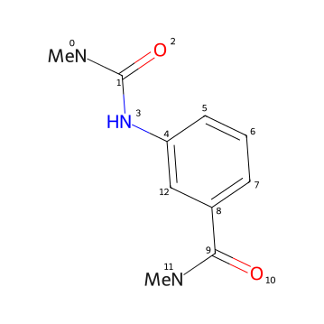 CNC(=O)Nc1cccc(C(=O)NC)c1